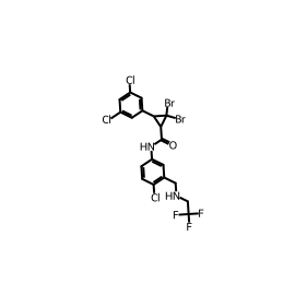 O=C(Nc1ccc(Cl)c(CNCC(F)(F)F)c1)C1C(c2cc(Cl)cc(Cl)c2)C1(Br)Br